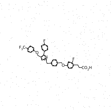 O=C(O)CCc1ccc(OCc2ccc(Cn3cc(COc4ccc(C(F)(F)F)cc4)c(-c4ccc(F)cc4)n3)cc2)cc1F